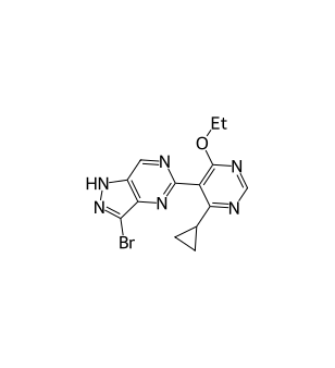 CCOc1ncnc(C2CC2)c1-c1ncc2[nH]nc(Br)c2n1